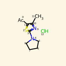 CC(=O)c1sc(N2CCCC2)nc1C.Cl